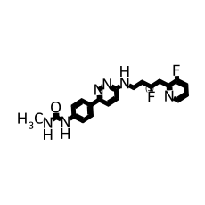 CNC(=O)Nc1ccc(-c2ccc(NCC[C@H](F)Cc3ncccc3F)nn2)cc1